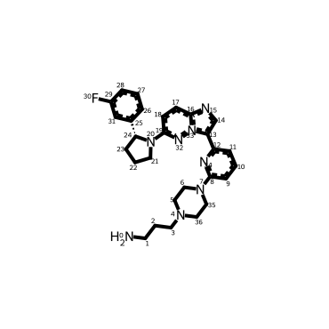 NCCCN1CCN(c2cccc(-c3cnc4ccc(N5CCC[C@@H]5c5cccc(F)c5)nn34)n2)CC1